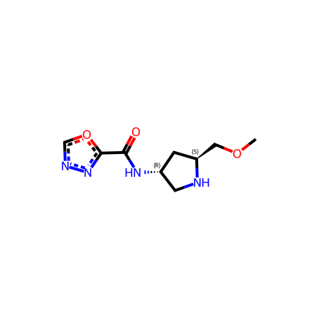 COC[C@@H]1C[C@@H](NC(=O)c2nnco2)CN1